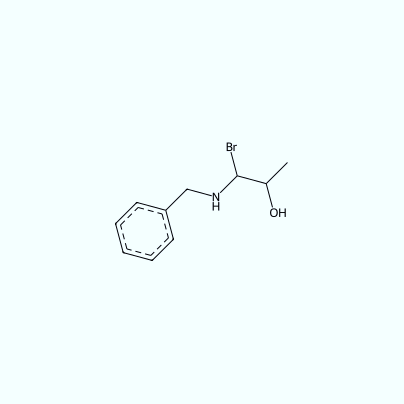 CC(O)C(Br)NCc1ccccc1